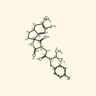 C[C@H](N(Cc1ccc(F)cc1)C(=O)CN1C(=O)OC2(CCC3CC(N)=C(F)C=C32)C1=O)C(F)(F)F